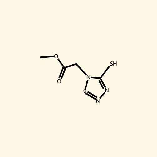 COC(=O)Cn1nnnc1S